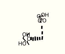 C=C.C=C.C=C.C=C.C=C.C=C.C=C.C=C.CCOCC.COS(=O)(=O)O.OCCO